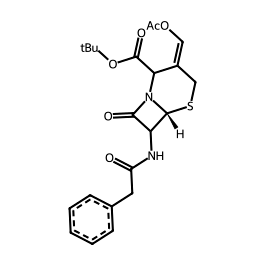 CC(=O)O/C=C1/CS[C@@H]2C(NC(=O)Cc3ccccc3)C(=O)N2C1C(=O)OC(C)(C)C